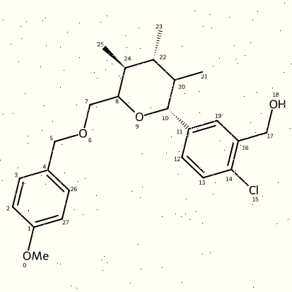 COc1ccc(COCC2O[C@@H](c3ccc(Cl)c(CO)c3)C(C)[C@@H](C)[C@@H]2C)cc1